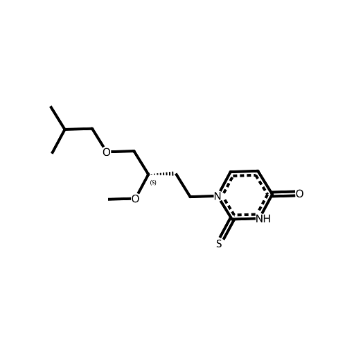 CO[C@@H](CCn1ccc(=O)[nH]c1=S)COCC(C)C